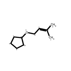 CC(C)=CCOC1CCCC1